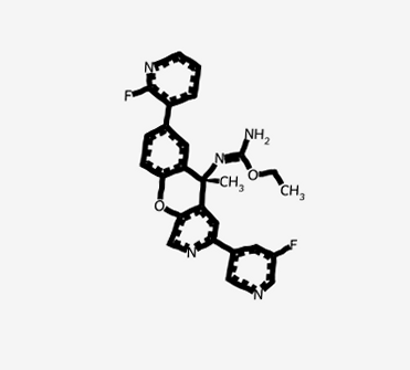 CCO/C(N)=N\[C@@]1(C)c2cc(-c3cccnc3F)ccc2Oc2cnc(-c3cncc(F)c3)cc21